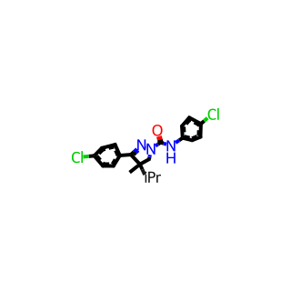 CC(C)C1(C)CN(C(=O)Nc2ccc(Cl)cc2)N=C1c1ccc(Cl)cc1